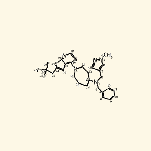 Cn1cc(CN(Cc2ccccc2)[C@@H]2CCCN(c3ncnc4sc(CC(F)(F)F)cc34)CC2)cn1